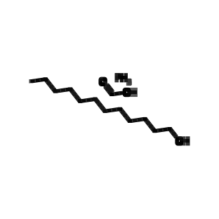 CCCCCCCCCCCCO.O=CO.P